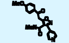 CNC(=O)c1c(-c2ccncc2)noc1CC(=O)c1ccc(OC)cc1